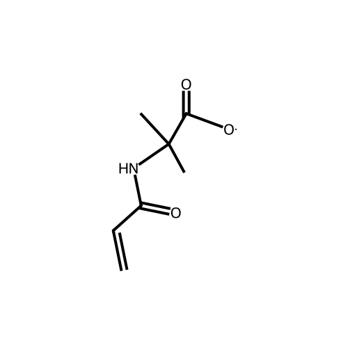 C=CC(=O)NC(C)(C)C([O])=O